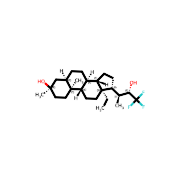 CC[C@]12CC[C@H]3[C@@H](CC[C@@H]4C[C@](C)(O)CC[C@@]43C)[C@@H]1CC[C@@H]2[C@H](C)[C@H](O)C(F)(F)F